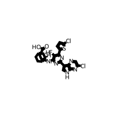 O=C(O)[C@@H]1C2CCC(CC2)[C@H]1Nc1nc(-c2c[nH]c3nc(Cl)cnc23)nc(-c2ccc(Cl)s2)c1F